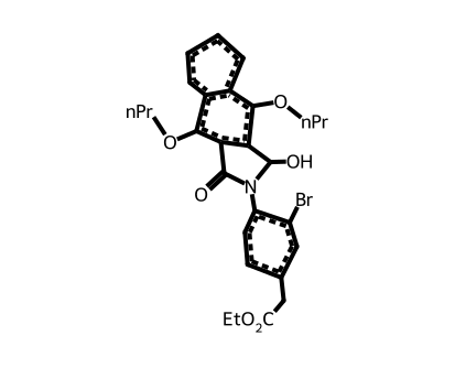 CCCOc1c2c(c(OCCC)c3ccccc13)C(O)N(c1ccc(CC(=O)OCC)cc1Br)C2=O